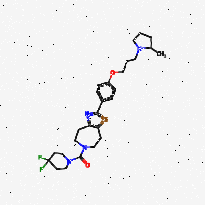 CC1CCCN1CCCOc1ccc(-c2nc3c(s2)CCN(C(=O)N2CCC(F)(F)CC2)CC3)cc1